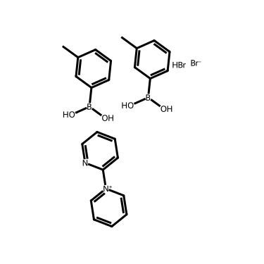 Br.Cc1cccc(B(O)O)c1.Cc1cccc(B(O)O)c1.[Br-].c1cc[n+](-c2ccccn2)cc1